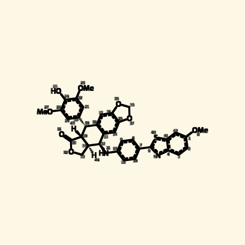 COc1ccc2nc(-c3ccc(N[C@@H]4c5cc6c(cc5[C@@H](c5cc(OC)c(O)c(OC)c5)[C@H]5C(=O)OC[C@@H]54)OCO6)cc3)sc2c1